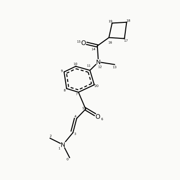 CN(C)C=CC(=O)c1cccc(N(C)C(=O)C2CCC2)c1